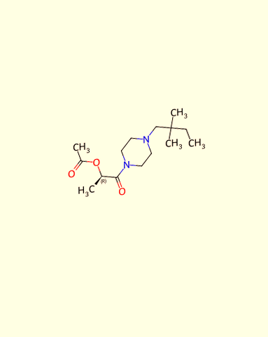 CCC(C)(C)CN1CCN(C(=O)[C@@H](C)OC(C)=O)CC1